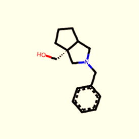 OC[C@]12CCCC1CN(Cc1ccccc1)C2